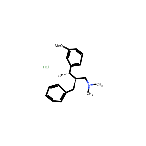 CC[C@H](c1cccc(OC)c1)[C@H](Cc1ccccc1)CN(C)C.Cl